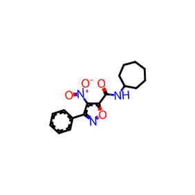 O=C(NC1CCCCCC1)c1onc(-c2ccccc2)c1[N+](=O)[O-]